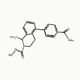 CNC(=O)c1ccc(-c2cccc3c2CCN(C(=O)OC(C)(C)C)C3C(=O)O)cc1